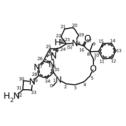 CN1CCCCOCC(C)(c2ccccc2)C(=O)N2CCCC[C@H]2c2cc3nc(N4CC(N)C4)cc1n3n2